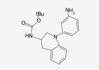 CC(C)(C)OC(=O)NC1Cc2ccccc2N(c2cccc(N)c2)C1